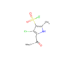 COC(=O)c1[nH]c(C)c(S(=O)(=O)Cl)c1Cl